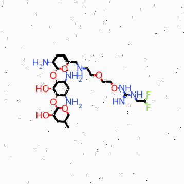 CC1CO[C@H](O[C@@H]2[C@@H](O)[C@H](O[C@H]3OC(CNCCOCCONC(=N)NCC(F)F)=CC[C@H]3N)[C@@H](N)C[C@H]2N)[C@H](O)C1